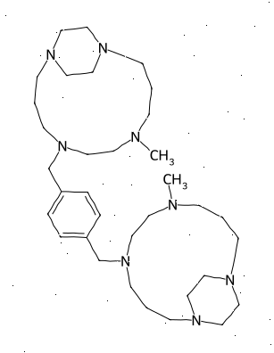 CN1CCCN2CCN(CCCN(Cc3ccc(CN4CCCN5CCN(CCCN(C)CC4)CC5)cc3)CC1)CC2